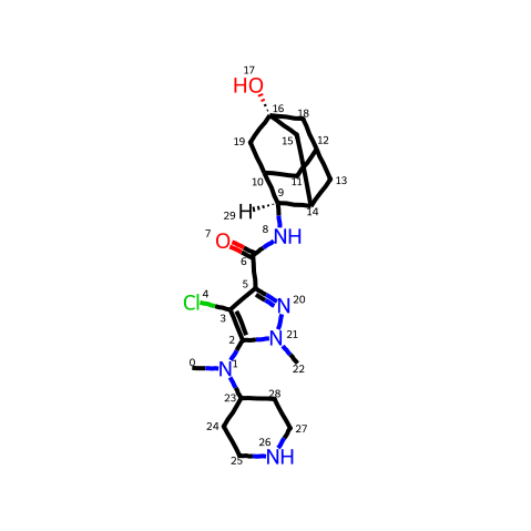 CN(c1c(Cl)c(C(=O)N[C@H]2C3CC4CC2C[C@](O)(C4)C3)nn1C)C1CCNCC1